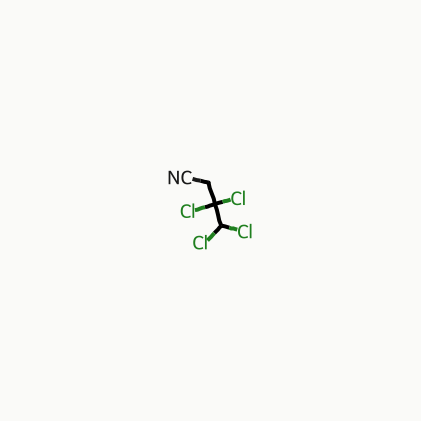 N#CCC(Cl)(Cl)C(Cl)Cl